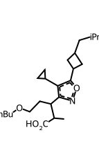 CCCCOCCC(c1noc(C2CC(CC(C)C)C2)c1C1CC1)C(C)C(=O)O